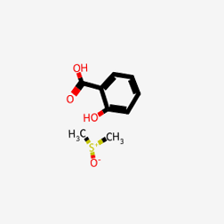 C[S+](C)[O-].O=C(O)c1ccccc1O